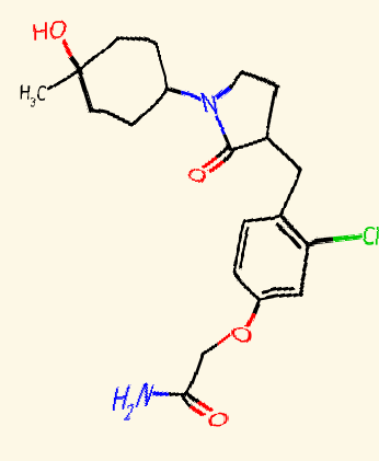 CC1(O)CCC(N2CCC(Cc3ccc(OCC(N)=O)cc3Cl)C2=O)CC1